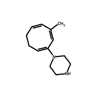 CC1=C/C(N2CCNCC2)=C\CC/C=C\1